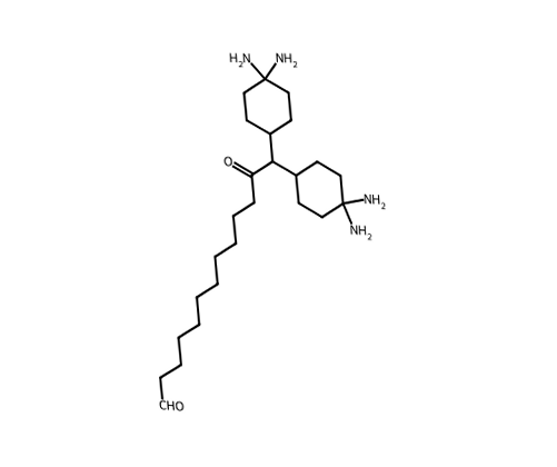 NC1(N)CCC(C(C(=O)CCCCCCCCCCC=O)C2CCC(N)(N)CC2)CC1